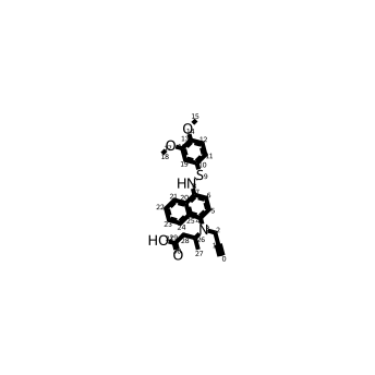 C#CCN(c1ccc(NSc2ccc(OC)c(OC)c2)c2ccccc12)C(C)CC(=O)O